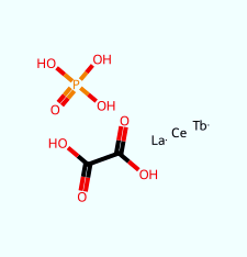 O=C(O)C(=O)O.O=P(O)(O)O.[Ce].[La].[Tb]